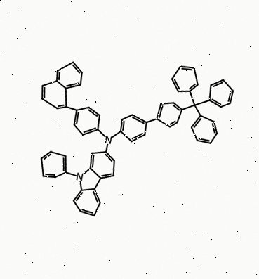 c1ccc(-n2c3ccccc3c3ccc(N(c4ccc(-c5ccc(C(c6ccccc6)(c6ccccc6)c6ccccc6)cc5)cc4)c4ccc(-c5cccc6ccccc56)cc4)cc32)cc1